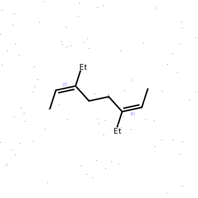 C/C=C(/CC)C[CH]/C(=C\C)CC